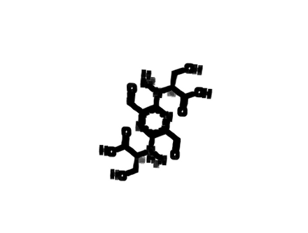 NN(c1nc(C=O)c(N(N)[C@@H](CO)C(=O)O)nc1C=O)[C@@H](CO)C(=O)O